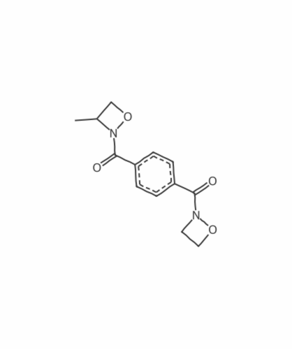 CC1CON1C(=O)c1ccc(C(=O)N2CCO2)cc1